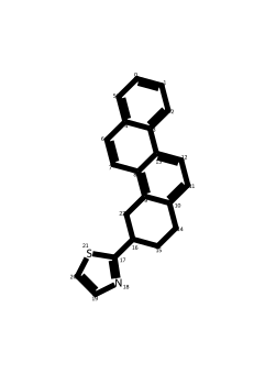 c1ccc2c(c1)ccc1c3c(ccc12)CCC(c1nccs1)C3